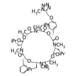 CC(C)C[C@H]1CO[C@H](Cc2ccccc2)C(=O)N(C)[C@@H](CC(C)C)C(=O)O[C@H](C)C(=O)N(C)[C@@H](CC(C)C)C(=O)O[C@H](Cc2ccc(OCc3nnnn3C)cc2)C(=O)N(C)[C@@H](CC(C)C)C(=O)O[C@H](C)C(=O)N1C